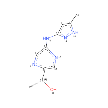 Cc1cc(Nc2cnc([C@@H](C)O)cn2)n[nH]1